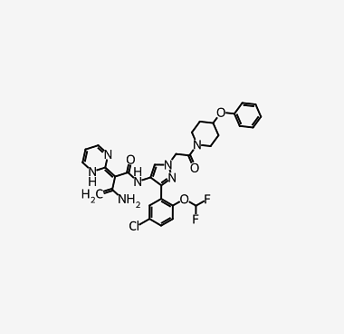 C=C(N)/C(C(=O)Nc1cn(CC(=O)N2CCC(Oc3ccccc3)CC2)nc1-c1cc(Cl)ccc1OC(F)F)=C1/N=CC=CN1